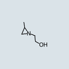 CC1CN1CCO